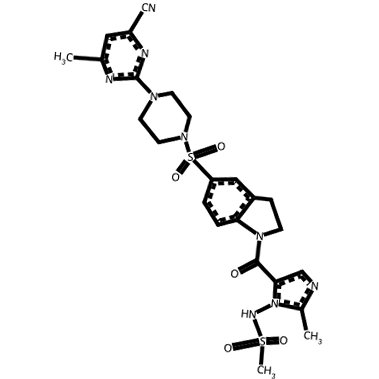 Cc1cc(C#N)nc(N2CCN(S(=O)(=O)c3ccc4c(c3)CCN4C(=O)c3cnc(C)n3NS(C)(=O)=O)CC2)n1